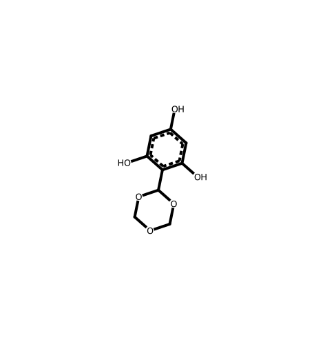 Oc1cc(O)c(C2OCOCO2)c(O)c1